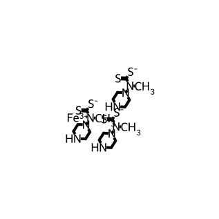 CN(C(=S)[S-])N1CCNCC1.CN(C(=S)[S-])N1CCNCC1.CN(C(=S)[S-])N1CCNCC1.[Fe+3]